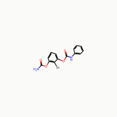 CCc1c(OC(N)=O)cccc1OC(=O)Nc1ccccc1